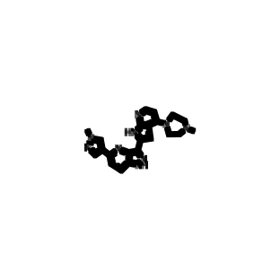 CN1CCN(c2ccnc3[nH]c(-c4n[nH]c5ccc(-c6cnn(C)c6)nc45)cc23)CC1